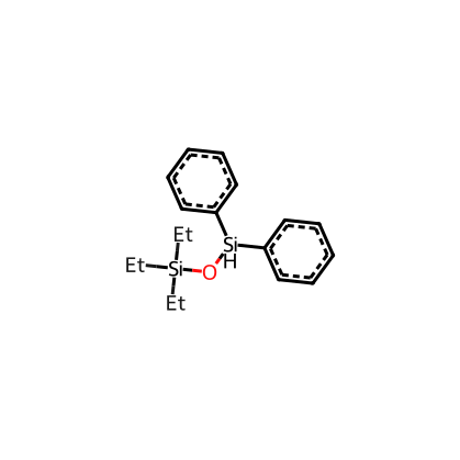 CC[Si](CC)(CC)O[SiH](c1ccccc1)c1ccccc1